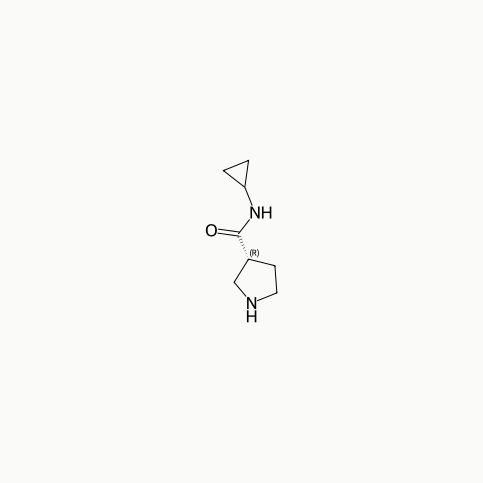 O=C(NC1CC1)[C@@H]1CCNC1